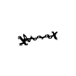 CC(C)(C)OOCOOCOOC(C)(C)C